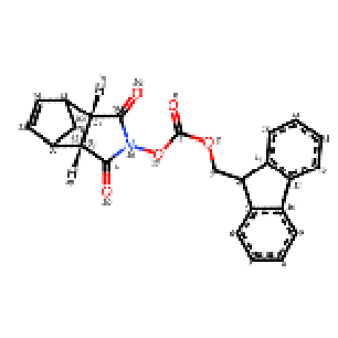 O=C(OCC1c2ccccc2-c2ccccc21)ON1C(=O)[C@@H]2C3C=CC(C3)[C@@H]2C1=O